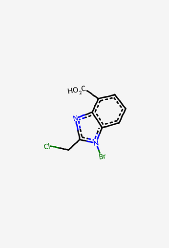 O=C(O)c1cccc2c1nc(CCl)n2Br